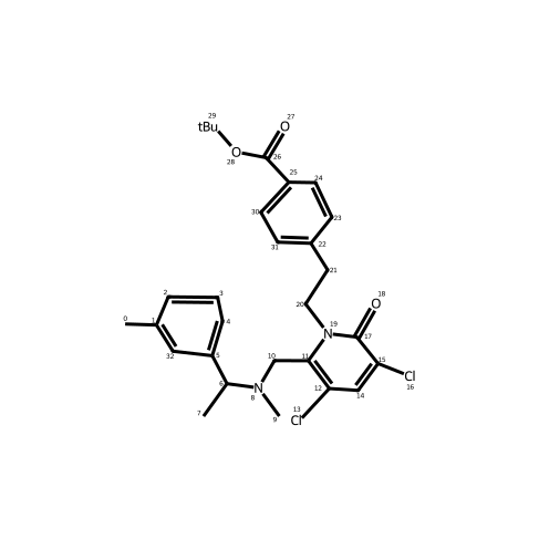 Cc1cccc(C(C)N(C)Cc2c(Cl)cc(Cl)c(=O)n2CCc2ccc(C(=O)OC(C)(C)C)cc2)c1